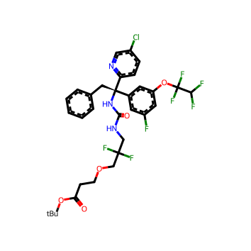 CC(C)(C)OC(=O)CCOCC(F)(F)CNC(=O)N[C@@](Cc1ccccc1)(c1cc(F)cc(OC(F)(F)C(F)F)c1)c1ccc(Cl)cn1